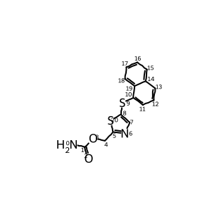 NC(=O)OCc1ncc(Sc2cccc3ccccc23)s1